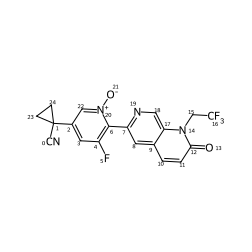 N#CC1(c2cc(F)c(-c3cc4ccc(=O)n(CC(F)(F)F)c4cn3)[n+]([O-])c2)CC1